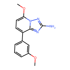 COc1cccc(-c2ccc(OC)n3nc(N)nc23)c1